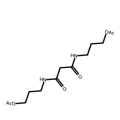 CC(=O)OCCCNC(=O)CC(=O)NCCCOC(C)=O